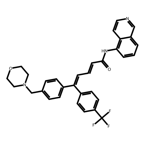 O=C(C=CC=C(c1ccc(CN2CCOCC2)cc1)c1ccc(C(F)(F)F)cc1)Nc1cccc2cnccc12